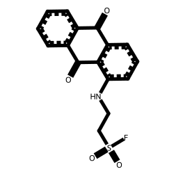 O=C1c2ccccc2C(=O)c2c(NCCS(=O)(=O)F)cccc21